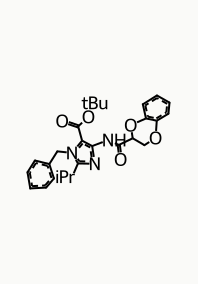 CC(C)c1nc(NC(=O)C2COc3ccccc3O2)c(C(=O)OC(C)(C)C)n1Cc1ccccc1